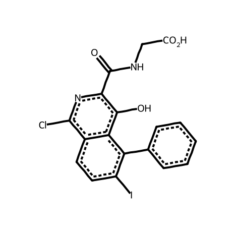 O=C(O)CNC(=O)c1nc(Cl)c2ccc(I)c(-c3ccccc3)c2c1O